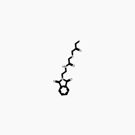 O=C(CI)CSCC(=O)NCCN1C(=O)c2ccccc2C1=O